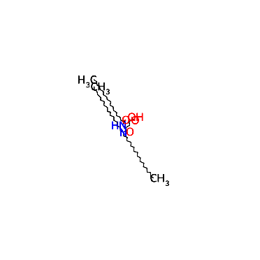 CCCCCCCCCCCCCCCCCCN(CCCCCCCCCCCCCCCCCC)C(=O)C(CCC(=O)O)NC(=O)CCCCCCCCCCCCCCCCC